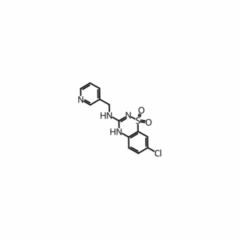 O=S1(=O)N=C(NCc2cccnc2)Nc2ccc(Cl)cc21